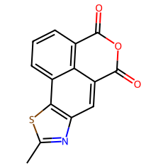 Cc1nc2cc3c4c(cccc4c2s1)C(=O)OC3=O